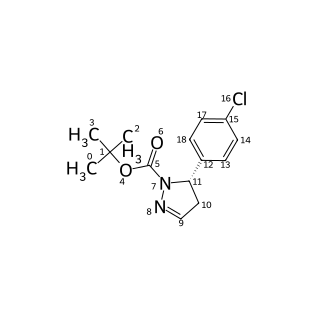 CC(C)(C)OC(=O)N1N=CC[C@H]1c1ccc(Cl)cc1